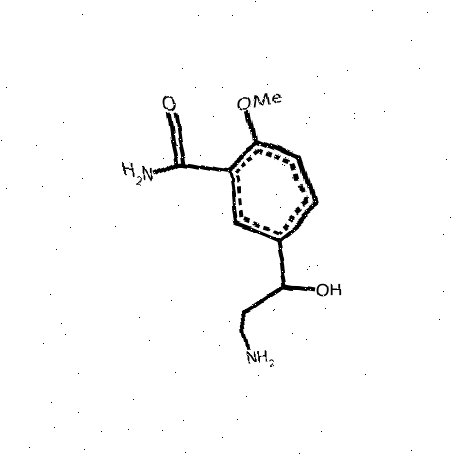 COc1ccc(C(O)CN)cc1C(N)=O